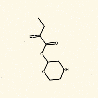 C=C(CC)C(=O)OC1CNCCO1